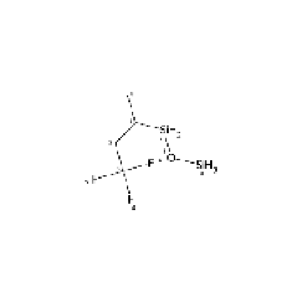 CC(CC(F)(F)F)[SiH2]O[SiH3]